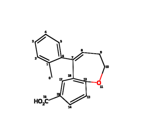 Cc1ccccc1C1=CCCOc2ccc(C(=O)O)cc21